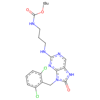 CC(C)(C)OC(=O)NCCCNc1ncc2[nH]c(=O)n(Cc3c(Cl)cccc3Cl)c2n1